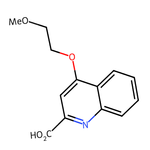 COCCOc1cc(C(=O)O)nc2ccccc12